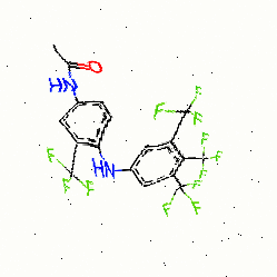 CC(=O)Nc1ccc(Nc2cc(C(F)(F)F)c(C(F)(F)F)c(C(F)(F)F)c2)c(C(F)(F)F)c1